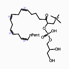 CCCCC/C=C\C/C=C\C/C=C\C/C=C\CCCC(=O)C(C[N+](C)(C)C)OP(=O)(O)OCC(O)CO